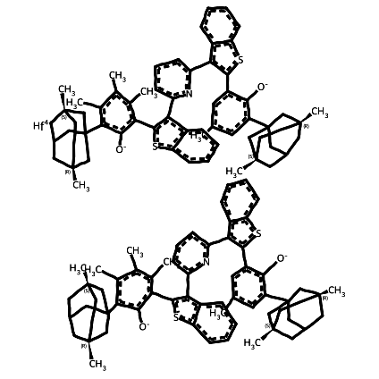 Cc1cc(-c2sc3ccccc3c2-c2cccc(-c3c(-c4c(C)c(C)c(C)c(C56CC7C[C@@](C)(C5)C[C@](C)(C7)C6)c4[O-])sc4ccccc34)n2)c([O-])c(C23CC4C[C@@](C)(C2)C[C@](C)(C4)C3)c1.Cc1cc(-c2sc3ccccc3c2-c2cccc(-c3c(-c4c(C)c(C)c(C)c(C56CC7C[C@@](C)(C5)C[C@](C)(C7)C6)c4[O-])sc4ccccc34)n2)c([O-])c(C23CC4C[C@@](C)(C2)C[C@](C)(C4)C3)c1.[Hf+4]